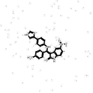 Cc1ccc(C(Nc2ccc(-c3c[nH]cn3)cc2)=C2C(=O)Nc3ccc([N+](=O)[O-])cc32)cc1